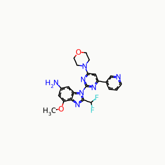 COc1cc(N)cc2c1nc(C(F)F)n2-c1nc(-c2cccnc2)cc(N2CCOCC2)n1